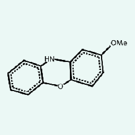 COc1ccc2c(c1)Nc1ccccc1O2